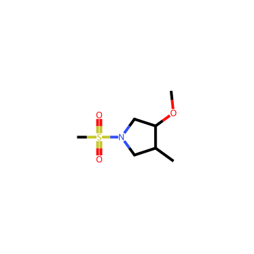 COC1CN(S(C)(=O)=O)CC1C